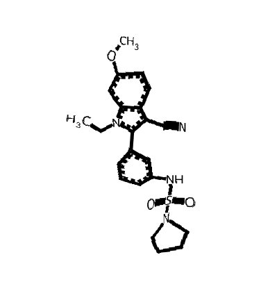 CCn1c(-c2cccc(NS(=O)(=O)N3CCCC3)c2)c(C#N)c2ccc(OC)cc21